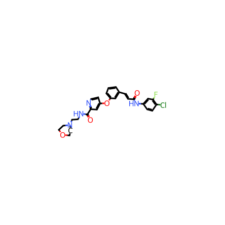 O=C(/C=C/c1cccc(Oc2ccnc(C(=O)NCCN3CCOCC3)c2)c1)Nc1ccc(Cl)c(F)c1